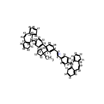 CC1(c2cc(/C=C/c3ccc(N4c5ccccc5C=Cc5ccccc54)cc3)ccc2-c2ccc(N3C4=C(C=CCC4)C=Cc4ccccc43)cc2)CCCC1